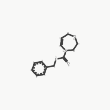 O=C(OCc1ccccc1)N1C=CCOCC1